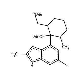 CNCC1CCCC(C)C1(OC)c1cc(F)cc2[nH]c(C)cc12